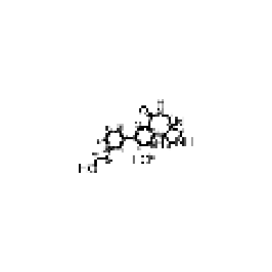 Cl.O=C1NC[C@@H]2CNC[C@H]2c2ccc(-c3cccc(CCO)c3)cc21